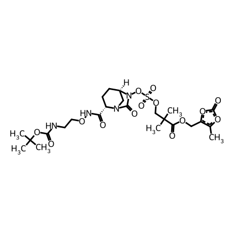 Cc1oc(=O)oc1COC(=O)C(C)(C)COS(=O)(=O)ON1C(=O)N2C[C@H]1CC[C@H]2C(=O)NOCCNC(=O)OC(C)(C)C